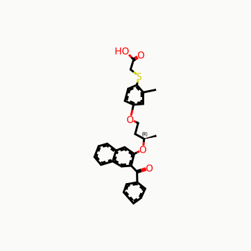 Cc1cc(OCC[C@@H](C)Oc2cc3ccccc3cc2C(=O)c2ccccc2)ccc1SCC(=O)O